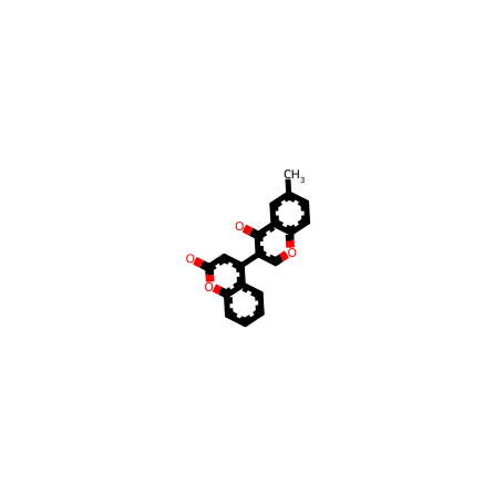 Cc1ccc2occ(-c3cc(=O)oc4ccccc34)c(=O)c2c1